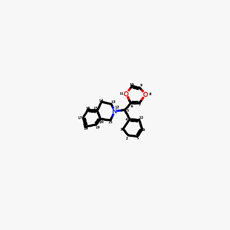 C1=CCCC(C(C2=COC=CO2)N2CCc3ccccc3C2)=C1